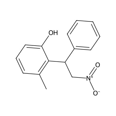 Cc1cccc(O)c1C(C[N+](=O)[O-])c1ccccc1